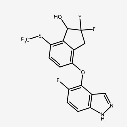 OC1c2c(SC(F)(F)F)ccc(Oc3c(F)ccc4[nH]ncc34)c2CC1(F)F